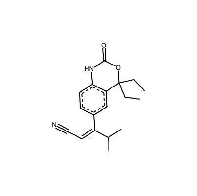 CCC1(CC)OC(=O)Nc2ccc(/C(=C\C#N)C(C)C)cc21